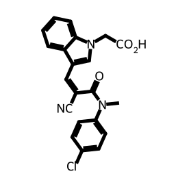 CN(C(=O)C(C#N)=Cc1cn(CC(=O)O)c2ccccc12)c1ccc(Cl)cc1